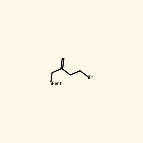 [CH2]CCCCCC(=C)CCC(C)C